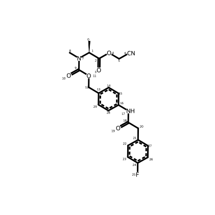 C[C@@H](C(=O)OCC#N)N(C)C(=O)OCc1ccc(NC(=O)Cc2ccc(F)cc2)cc1